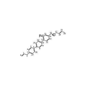 C=CCc1ccc(-c2ccc(-c3ccc(COCC=CC)cc3F)cc2)cc1